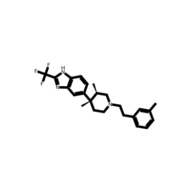 Cc1cccc(CCN2CC[C@](C)(c3ccc4[nH]c(C(F)(F)F)nc4c3)[C@@H](C)C2)c1